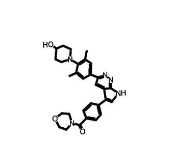 Cc1cc(-c2cc3c(-c4ccc(C(=O)N5CCOCC5)cc4)c[nH]c3nn2)cc(C)c1N1CCC(O)CC1